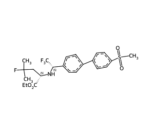 CCOC(=O)[C@H](CC(C)(C)F)N[C@@H](c1ccc(-c2ccc(S(C)(=O)=O)cc2)cc1)C(F)(F)F